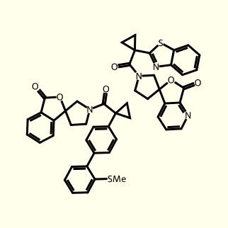 CSc1ccccc1-c1ccc(C2(C(=O)N3CCC4(C3)OC(=O)c3ccccc34)CC2)cc1.O=C1OC2(CCN(C(=O)C3(c4nc5ccccc5s4)CC3)C2)c2cccnc21